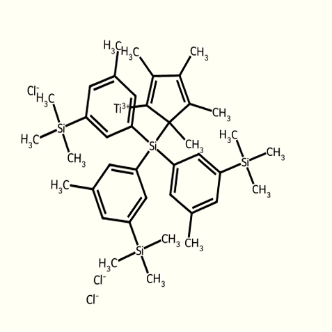 CC1=C(C)C(C)([Si](c2cc(C)cc([Si](C)(C)C)c2)(c2cc(C)cc([Si](C)(C)C)c2)c2cc(C)cc([Si](C)(C)C)c2)[C]([Ti+3])=C1C.[Cl-].[Cl-].[Cl-]